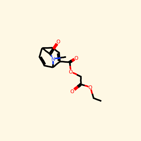 CCOC(=O)COC(=O)C1=CCC2C=CC1N(C)C2=O